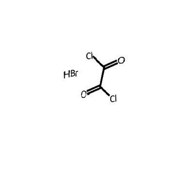 Br.O=C(Cl)C(=O)Cl